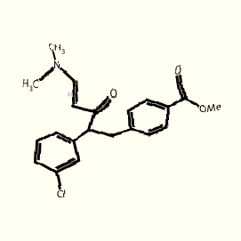 COC(=O)c1ccc(CC(C(=O)/C=C/N(C)C)c2cccc(Cl)c2)cc1